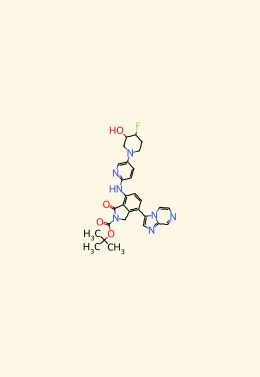 CC(C)(C)OC(=O)N1Cc2c(-c3cnc4cnccn34)ccc(Nc3ccc(N4CCC(F)C(O)C4)cn3)c2C1=O